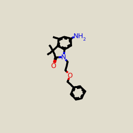 Cc1cc(N)cc2c1C(C)(C)C(=O)N2CCOCc1ccccc1